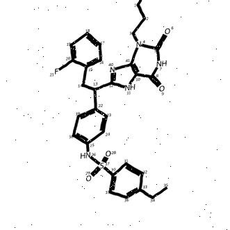 CCCCn1c(=O)[nH]c(=O)c2[nH]c(C(Cc3ccccc3F)c3ccc(NS(=O)(=O)c4ccc(CC)cc4)cc3)nc21